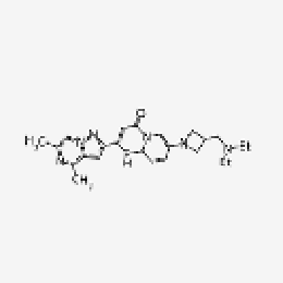 CCN(CC)CC1CN(C2=CN3C(=O)C=C(c4cc5c(C)nc(C)cn5n4)PC3C=C2)C1